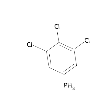 Clc1cccc(Cl)c1Cl.P